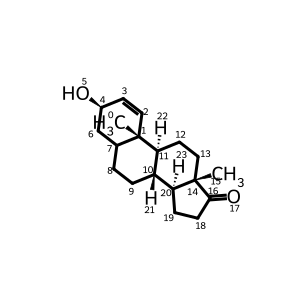 C[C@]12C=C[C@H](O)CC1CC[C@@H]1[C@@H]2CC[C@]2(C)C(=O)CC[C@@H]12